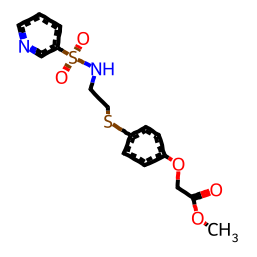 COC(=O)COc1ccc(SCCNS(=O)(=O)c2cccnc2)cc1